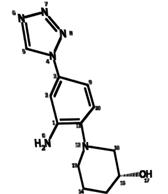 Nc1cc(-n2cnnn2)ccc1N1CCC[C@@H](O)C1